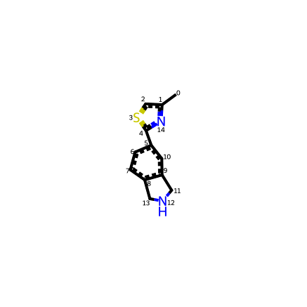 Cc1csc(-c2ccc3c(c2)CNC3)n1